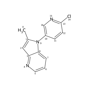 Cc1cc2ncccc2n1-c1ccc(Cl)nc1